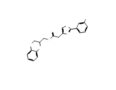 Cc1cccc(-c2nc(CC(=O)NCC3COc4ccccc4O3)cs2)c1